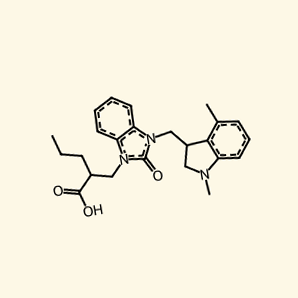 CCCC(Cn1c(=O)n(CC2CN(C)c3cccc(C)c32)c2ccccc21)C(=O)O